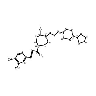 O=C(/C=C/c1ccc(Cl)c(Cl)c1)N1CCC(=O)N(CCCN2CCN(C3CCCC3)CC2)CC1